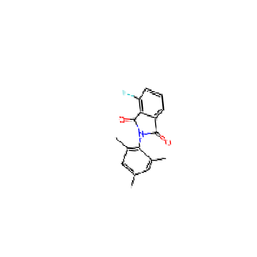 Cc1cc(C)c(N2C(=O)c3cccc(F)c3C2=O)c(C)c1